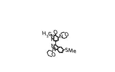 CSc1ccc2c(c1)c(-c1cc(N3CCOCC3)c(=O)n(C)n1)nn2C1CCCCO1